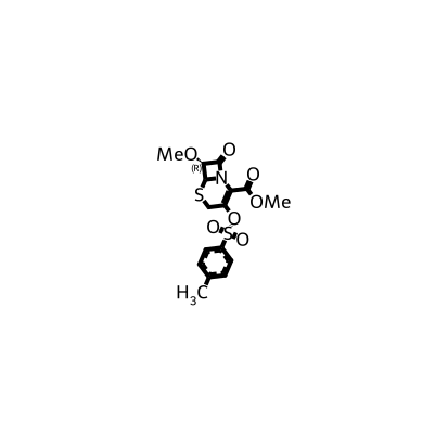 COC(=O)C1=C(OS(=O)(=O)c2ccc(C)cc2)CSC2[C@H](OC)C(=O)N12